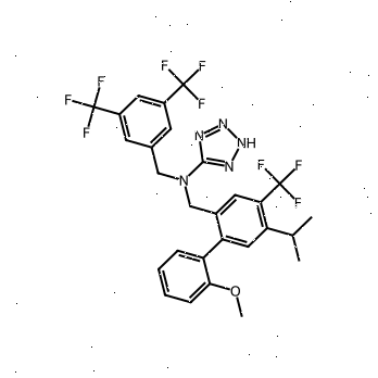 COc1ccccc1-c1cc(C(C)C)c(C(F)(F)F)cc1CN(Cc1cc(C(F)(F)F)cc(C(F)(F)F)c1)c1nn[nH]n1